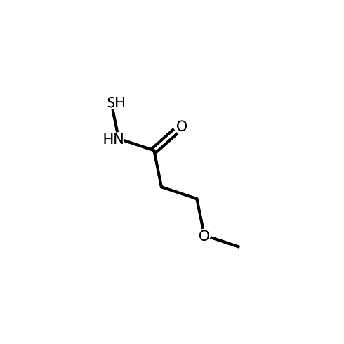 COCCC(=O)NS